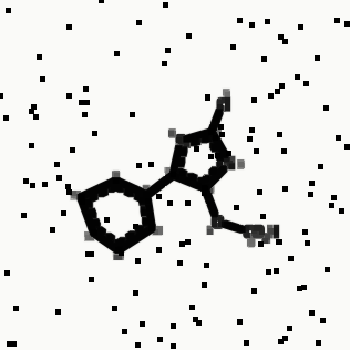 O=C(O)Oc1nc(Cl)sc1-c1ccccc1